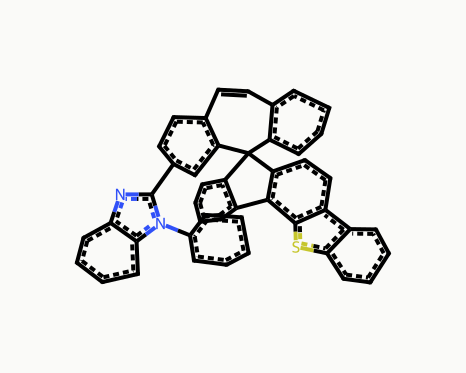 C1=Cc2ccc(-c3nc4ccccc4n3-c3ccccc3)cc2C2(c3ccccc31)c1ccccc1-c1c2ccc2c1sc1ccccc12